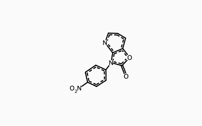 O=c1oc2cccnc2n1-c1ccc([N+](=O)[O-])cc1